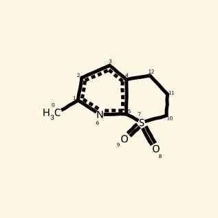 Cc1ccc2c(n1)S(=O)(=O)CCC2